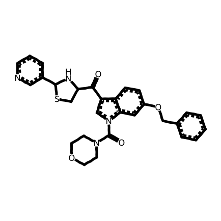 O=C(c1cn(C(=O)N2CCOCC2)c2cc(OCc3ccccc3)ccc12)C1CSC(c2cccnc2)N1